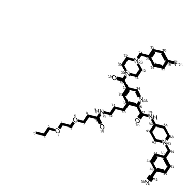 CCCOCCOCCC(=O)NCCCc1cc(C(=O)N2CCN(Cc3ccc(F)cc3)CC2)cnc1C(=O)NC1CCN(Cc2ccc(C#N)cc2)CC1